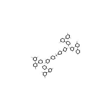 Cc1cc(C)cc(-c2ccc(C)cc2-c2cccc(N(c3ccc(-c4ccc(C(C)(C)c5ccc(-c6ccc(N(c7cccc(-c8cc(C)ccc8-c8cc(C)cc(C)c8)c7)c7cccc(-c8cc(C)ccc8-c8cc(C)cc(C)c8)c7)cc6)cc5)cc4)cc3)c3cccc(-c4cc(C)ccc4-c4ccccc4)c3)c2)c1